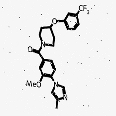 COc1cc(C(=O)N2CCC(Oc3cccc(C(F)(F)F)c3)CC2)ccc1-n1cnc(C)c1